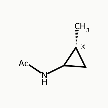 CC(=O)NC1C[C@H]1C